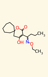 CCC/C(=N\OCC)C1=C(O)CC2(CCCCCC2)OC1=O